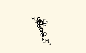 C=CCOC(=O)c1ccc(Oc2cc(C(F)(F)F)nc(C)n2)cc1